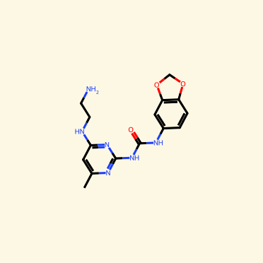 Cc1cc(NCCN)nc(NC(=O)Nc2ccc3c(c2)OCO3)n1